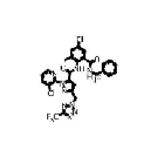 Cc1cc(Cl)cc(C(=O)N[C@H](C)c2ccccc2)c1NC(=O)c1cc(Cn2nnc(C(F)(F)F)n2)nn1-c1ncccc1Cl